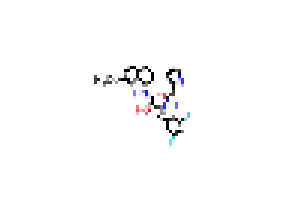 CCc1ccc2c(c1)[C@H](NC[C@@H](O)[C@H](Cc1cc(F)cc(F)c1)NC(=O)Cc1ccccn1)CCC2